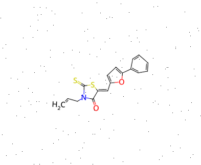 C=CCN1C(=O)C(=Cc2ccc(-c3ccccc3)o2)SC1=S